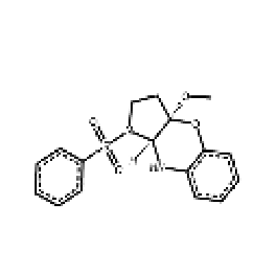 CO[C@@]12CCN(S(=O)(=O)c3ccccc3)[C@@H]1Nc1ccccc1O2